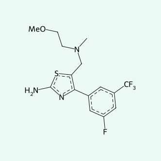 COCCN(C)Cc1sc(N)nc1-c1cc(F)cc(C(F)(F)F)c1